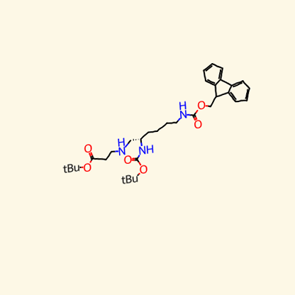 CC(C)(C)OC(=O)CCNC[C@H](CCCCNC(=O)OCC1c2ccccc2-c2ccccc21)NC(=O)OC(C)(C)C